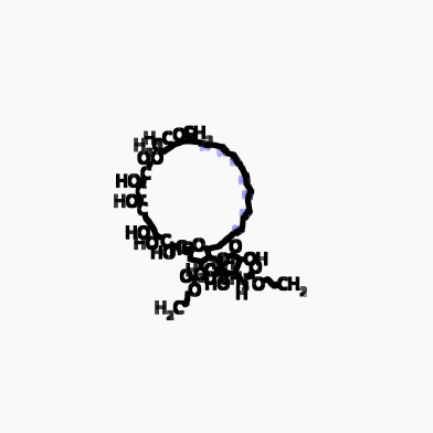 C=CCOC(=O)NC1C(O)C(C)OC(OC2/C=C/C=C/C=C/C=C/C=C/C=C/C=C/C(C)C(O)C(C)C(C)OC(=O)CC(O)CC(O)CCC(O)C(O)CC(O)CC3(O)CC(OC(=O)OCC=C)C(NC(C)=O)C(C2)O3)C1O